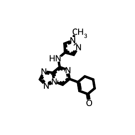 Cn1cc(Nc2nc(C3=CC(=O)CCC3)cn3ncnc23)cn1